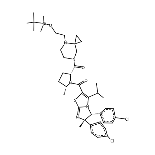 CC(C)C1=C(C(=O)N2[C@H](C)CC[C@@H]2C(=O)N2CCN(CCO[Si](C)(C)C(C)(C)C)C3(CC3)C2)SC2=N[C@@](C)(c3ccc(Cl)cc3)[C@@H](c3ccc(Cl)cc3)N21